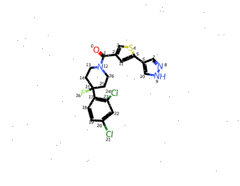 O=C(c1csc(-c2cn[nH]c2)c1)N1CCC(F)(c2ccc(Cl)cc2Cl)CC1